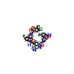 CN(CCc1ccccn1)C(=O)C(CCN1CCC2(CC1)OC(=O)Nc1ccc(F)cc12)c1ccc(Cl)c(Cl)c1.O=C1Nc2ccc(F)cc2C2(CCN(CCC(C(=O)O)c3ccc(Cl)c(Cl)c3)CC2)O1